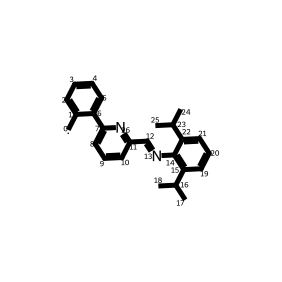 [CH2]c1ccccc1-c1cccc(C=Nc2c(C(C)C)cccc2C(C)C)n1